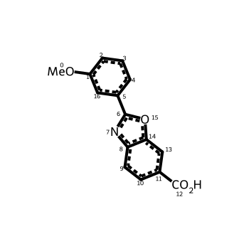 COc1cccc(-c2nc3ccc(C(=O)O)cc3o2)c1